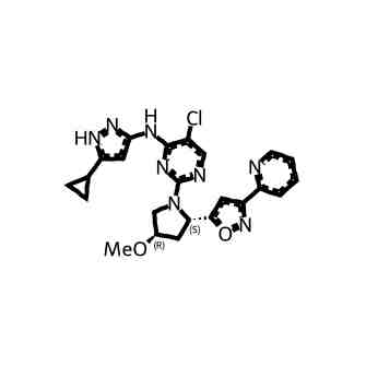 CO[C@@H]1C[C@@H](c2cc(-c3ccccn3)no2)N(c2ncc(Cl)c(Nc3cc(C4CC4)[nH]n3)n2)C1